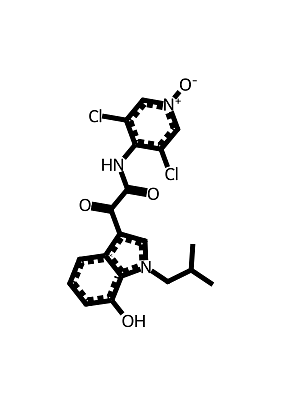 CC(C)Cn1cc(C(=O)C(=O)Nc2c(Cl)c[n+]([O-])cc2Cl)c2cccc(O)c21